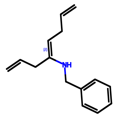 C=CC/C=C(/CC=C)NCc1ccccc1